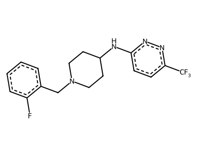 Fc1ccccc1CN1CCC(Nc2ccc(C(F)(F)F)nn2)CC1